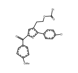 CCC(=O)OCCc1cc(C(=O)c2ccc(OC)cc2)sc1-c1ccc(Cl)cc1